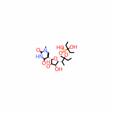 CCC(C)(OP(=O)(O)C(O)(CC)CC)C(C)[C@H]1O[C@@H](c2cn(C)c(=O)[nH]c2=O)[C@H](O)[C@@H]1O